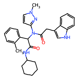 Cc1ccccc1C(C(=O)NC1CCCCC1)N(C(=O)Cc1c[nH]c2ccccc12)c1ccn(C)n1